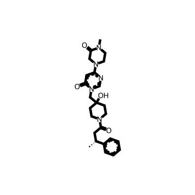 C[C@H](CC(=O)N1CCC(O)(Cn2cnc(N3CCN(C)C(=O)C3)cc2=O)CC1)c1ccccc1